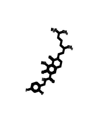 CC(C)CCCC(C)CCN1CCn2cc(C(=O)NCc3ccc(F)cc3F)c(=O)c(O)c2C1=O